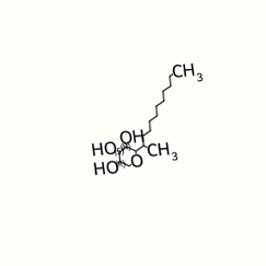 CCCCCCCCCCC(C)C1OC[C@@H](O)[C@H](O)[C@H]1O